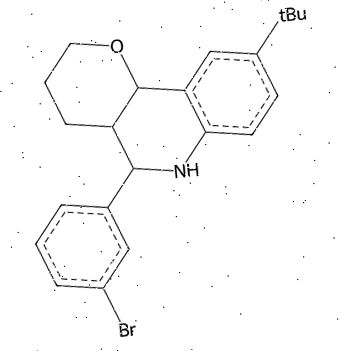 CC(C)(C)c1ccc2c(c1)C1OCCCC1C(c1cccc(Br)c1)N2